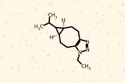 CCn1nnc2c1CC[C@H]1C(C(C)C)[C@H]1CC2